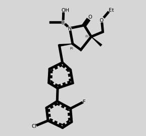 CCOC[C@]1(C)C[C@@H](Cc2ccc(-c3cc(Cl)ccc3F)cc2)N(B(C)O)C1=O